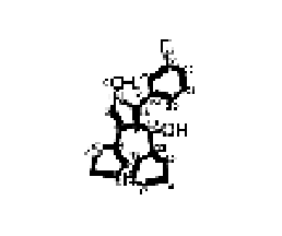 Cn1cc(-c2cccs2)c(C(O)c2cccnc2)c1-c1cccc(F)c1